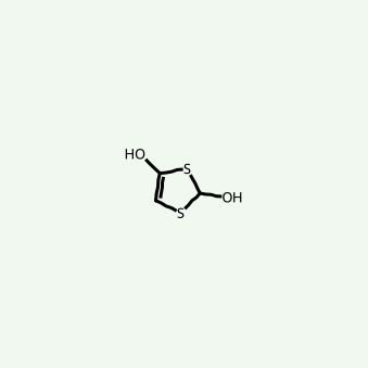 OC1=CSC(O)S1